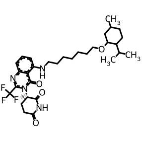 CC1CCC(C(C)C)C(OCCCCCCCNc2cccc3nc(C(F)(F)F)n([C@H]4CCC(=O)NC4=O)c(=O)c23)C1